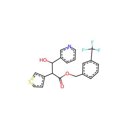 O=C(OCc1cccc(C(F)(F)F)c1)C(c1ccsc1)C(O)c1cccnc1